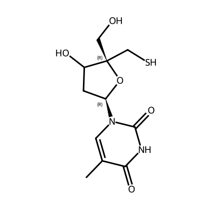 Cc1cn([C@H]2CC(O)[C@](CO)(CS)O2)c(=O)[nH]c1=O